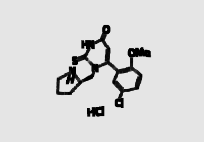 COc1ccc(Cl)cc1-c1cc(=O)[nH]c(=S)n1C[C@H]1CCCN1.Cl